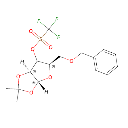 CC1(C)O[C@H]2O[C@H](COCc3ccccc3)C(OS(=O)(=O)C(F)(F)F)[C@@H]2O1